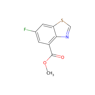 COC(=O)c1cc(F)cc2scnc12